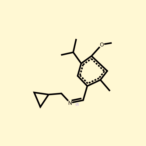 COc1cc(C)c(/C=N\CC2CC2)cc1C(C)C